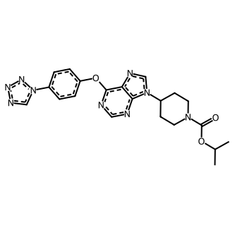 CC(C)OC(=O)N1CCC(n2cnc3c(Oc4ccc(-n5cnnn5)cc4)ncnc32)CC1